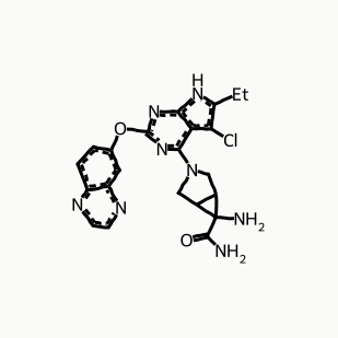 CCc1[nH]c2nc(Oc3ccc4nccnc4c3)nc(N3CC4C(C3)C4(N)C(N)=O)c2c1Cl